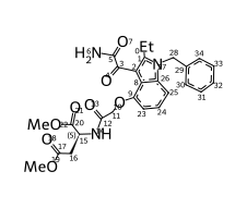 CCc1c(C(=O)C(N)=O)c2c(OCC(=O)N[C@@H](CC(=O)OC)C(=O)OC)cccc2n1Cc1ccccc1